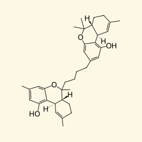 CC1=C[C@H]2c3c(O)cc(CCCCC4(C)Oc5cc(C)cc(O)c5[C@@H]5C=C(C)CC[C@H]54)cc3OC(C)(C)[C@@H]2CC1